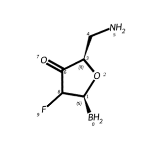 B[C@@H]1O[C@H](CN)C(=O)C1F